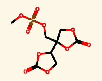 COS(=O)(=O)OCC1(C2COC(=O)O2)COC(=O)O1